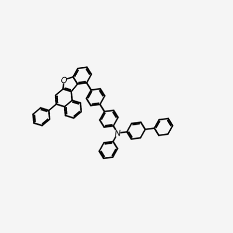 C1=CCCC(C2C=CC(N(c3ccccc3)c3ccc(-c4ccc(-c5cccc6oc7cc(-c8ccccc8)c8ccccc8c7c56)cc4)cc3)=CC2)=C1